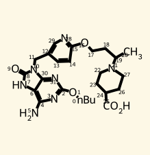 CCCCOc1nc(N)c2[nH]c(=O)n(Cc3ccc(OCCC(C)N4CCC(C(=O)O)CC4)nc3)c2n1